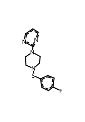 Fc1ccc(SN2CCN(c3ncccn3)CC2)cc1